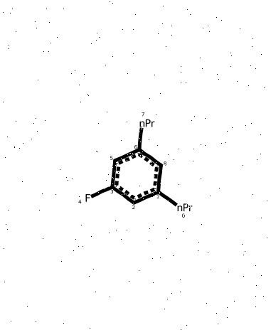 CCCc1cc(F)cc(CCC)c1